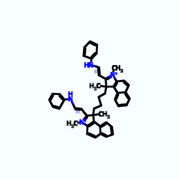 C[N+]1=C(/C=C/Nc2ccccc2)C(C)(CCCCC2(C)C(/C=C/Nc3ccccc3)=[N+](C)c3ccc4ccccc4c32)c2c1ccc1ccccc21